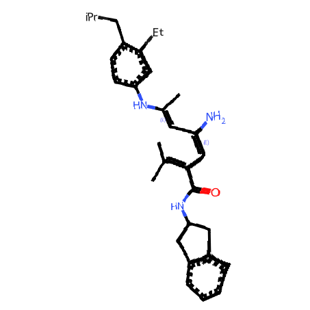 CCc1cc(N/C(C)=C/C(N)=C\C(C(=O)NC2Cc3ccccc3C2)=C(C)C)ccc1CC(C)C